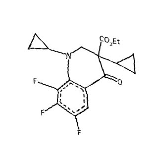 CCOC(=O)C1(C2CC2)CN(C2CC2)c2c(cc(F)c(F)c2F)C1=O